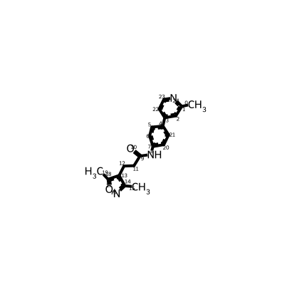 Cc1cc(-c2ccc(NC(=O)CCc3c(C)noc3C)cc2)ccn1